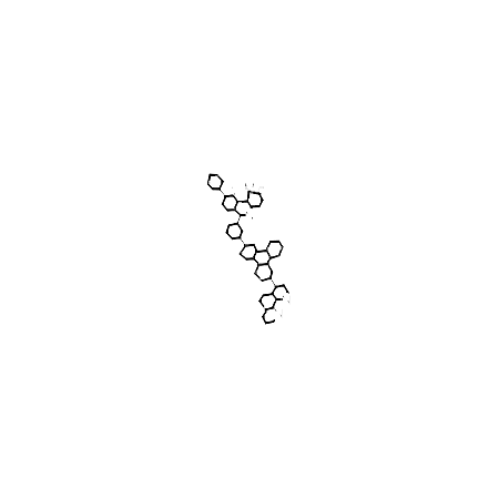 COc1c(-c2ccccc2)ccc2c(-c3cccc(-c4ccc5c6ccc(-c7ccnc8c7ccc7cccnc78)cc6c6ccccc6c5c4)c3)nc3ccccc3c12